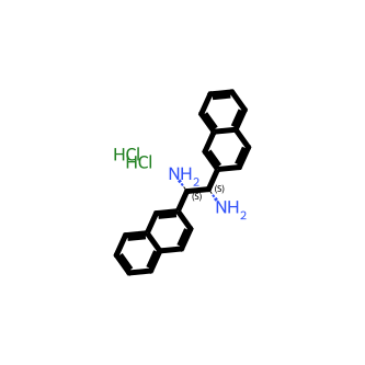 Cl.Cl.N[C@@H](c1ccc2ccccc2c1)[C@@H](N)c1ccc2ccccc2c1